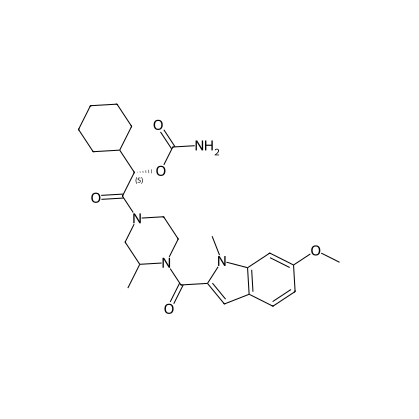 COc1ccc2cc(C(=O)N3CCN(C(=O)[C@@H](OC(N)=O)C4CCCCC4)CC3C)n(C)c2c1